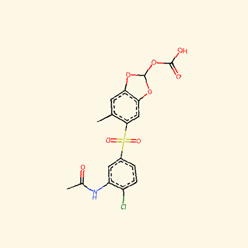 CC(=O)Nc1cc(S(=O)(=O)c2cc3c(cc2C)OC(OC(=O)O)O3)ccc1Cl